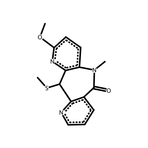 COc1ccc2c(n1)C(SC)c1ncccc1C(=O)N2C